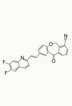 N#Cc1cccc2c1COc1ccc(C=Cc3ccc4cc(F)c(F)cc4n3)cc1C2=O